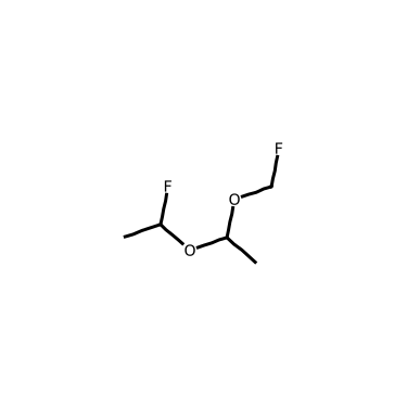 CC(F)OC(C)OCF